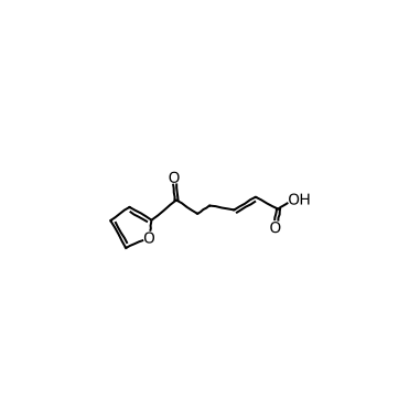 O=C(O)/C=C/CCC(=O)c1ccco1